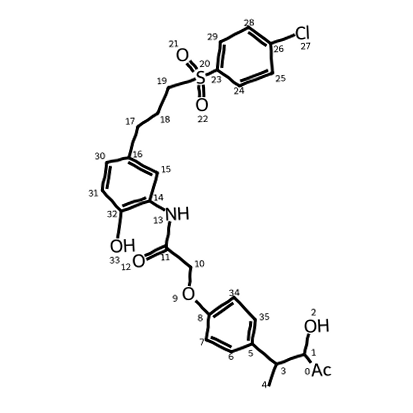 CC(=O)C(O)C(C)c1ccc(OCC(=O)Nc2cc(CCCS(=O)(=O)c3ccc(Cl)cc3)ccc2O)cc1